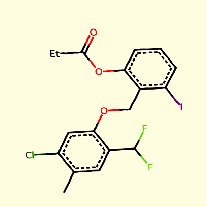 CCC(=O)Oc1cccc(I)c1COc1cc(Cl)c(C)cc1C(F)F